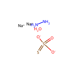 NN.O.O=S([O-])([O-])=S.[Na+].[Na+]